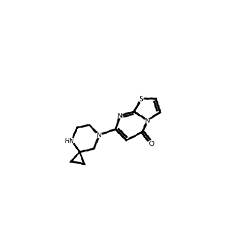 O=c1cc(N2CCNC3(CC3)C2)nc2sccn12